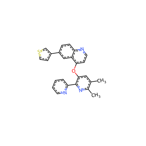 Cc1cc(Oc2ccnc3ccc(-c4ccsc4)cc23)c(-c2ccccn2)nc1C